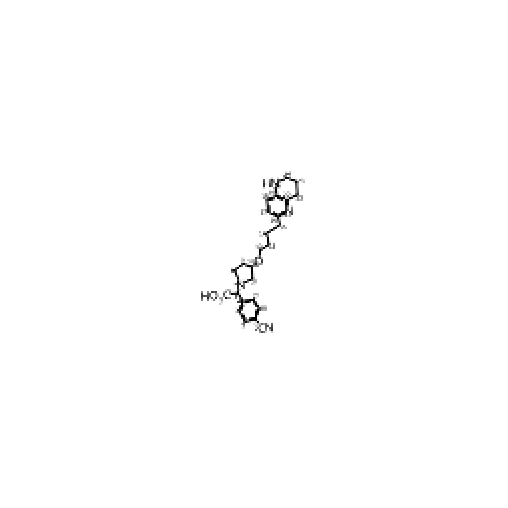 N#Cc1ccc(C(C(=O)O)N2CC[C@@H](OCCCCc3ccc4c(n3)CCCN4)C2)cc1